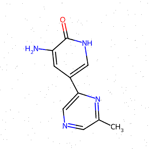 Cc1cncc(-c2c[nH]c(=O)c(N)c2)n1